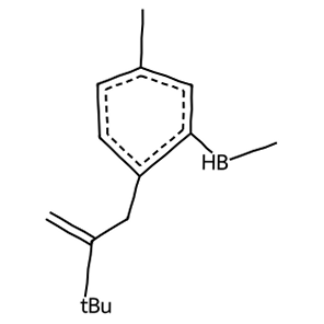 C=C(Cc1ccc(C)cc1BC)C(C)(C)C